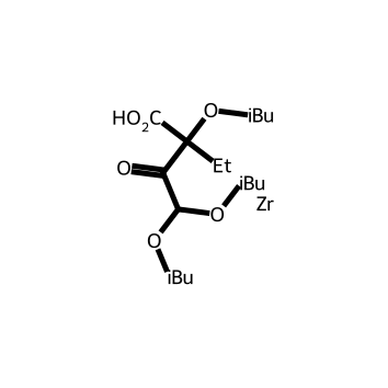 CCC(C)OC(OC(C)CC)C(=O)C(CC)(OC(C)CC)C(=O)O.[Zr]